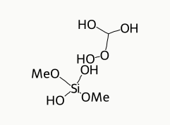 CO[Si](O)(O)OC.OOC(O)O